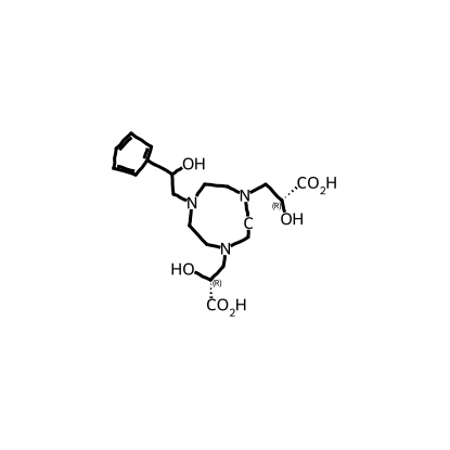 O=C(O)[C@H](O)CN1CCN(CC(O)c2ccccc2)CCN(C[C@@H](O)C(=O)O)CC1